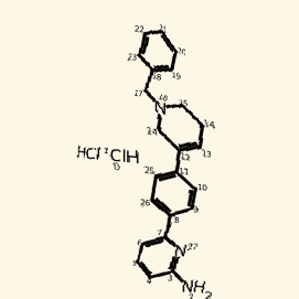 Cl.Cl.Nc1cccc(-c2ccc(C3=CCCN(Cc4ccccc4)C3)cc2)n1